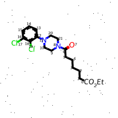 CCOC(=O)CCCCCC(=O)N1CCN(c2cccc(Cl)c2Cl)CC1